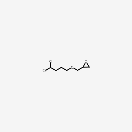 ClC(Cl)CCCOCC1CO1